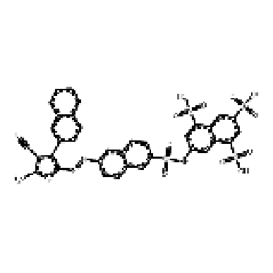 N#Cc1c(N)sc(/N=N/c2ccc3cc(S(=O)(=O)Nc4cc(S(=O)(=O)O)c5cc(S(=O)(=O)O)cc(S(=O)(=O)O)c5c4)ccc3c2)c1-c1ccc2ccccc2c1